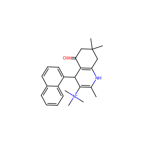 CC1=C([N+](C)(C)C)C(c2cccc3ccccc23)C2=C(CC(C)(C)CC2=O)N1